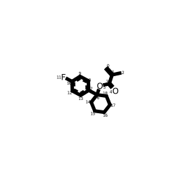 C=C(C)C(=O)OC1(c2ccc(F)cc2)CCCCC1